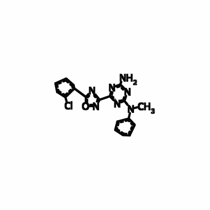 CN(c1ccccc1)c1nc(N)nc(-c2noc(-c3ccccc3Cl)n2)n1